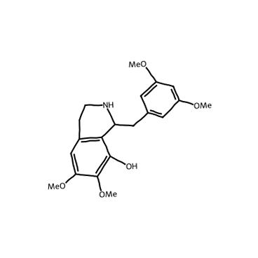 COc1cc(CC2NCCc3cc(OC)c(OC)c(O)c32)cc(OC)c1